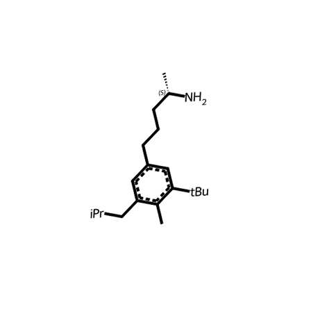 Cc1c(CC(C)C)cc(CCC[C@H](C)N)cc1C(C)(C)C